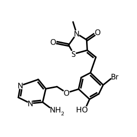 CN1C(=O)S/C(=C\c2cc(OCc3cncnc3N)c(O)cc2Br)C1=O